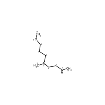 CNCCN(C)CCCOC